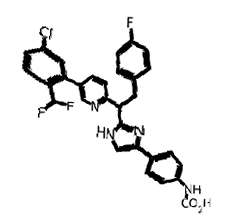 O=C(O)Nc1ccc(-c2c[nH]c(C(Cc3ccc(F)cc3)c3ccc(-c4cc(Cl)ccc4C(F)F)cn3)n2)cc1